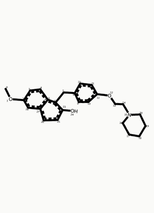 COc1ccc2c(Cc3ccc(OCCN4CCCCC4)cc3)c(O)ccc2c1